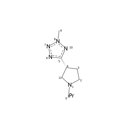 CC(C)N1CC[C@@H](c2nnn(C)n2)C1